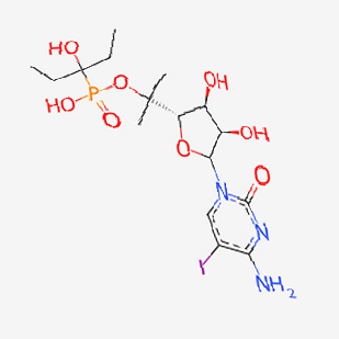 CCC(O)(CC)P(=O)(O)OC(C)(C)[C@H]1OC(n2cc(I)c(N)nc2=O)[C@H](O)[C@@H]1O